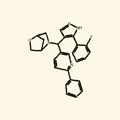 Fc1ccccc1-c1[nH]ncc1C(c1ccc(-c2ccccc2)nc1)N1CC2CC1CO2